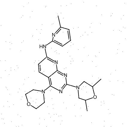 Cc1cccc(Nc2ccc3c(N4CCOCC4)nc(N4CC(C)OC(C)C4)nc3n2)n1